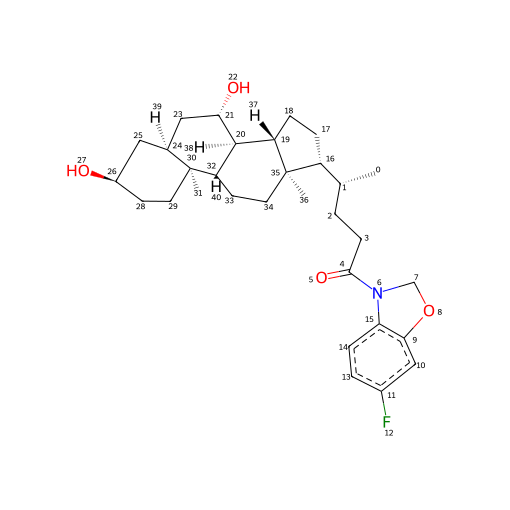 C[C@H](CCC(=O)N1COc2cc(F)ccc21)[C@H]1CC[C@H]2[C@@H]3[C@@H](O)C[C@@H]4C[C@H](O)CC[C@]4(C)[C@H]3CC[C@]12C